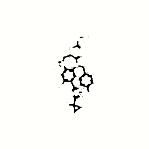 CC(C)(C)OC(=O)N[C@H]1CS(=O)(=O)c2cc(F)c(-c3nnc(C4(C(F)(F)F)CC4)o3)cc2N(Cc2ccc(Cl)cc2)C1=O